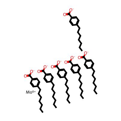 CCCCCCCc1ccc(C(=O)[O-])cc1.CCCCCCCc1ccc(C(=O)[O-])cc1.CCCCCCCc1ccc(C(=O)[O-])cc1.CCCCCCCc1ccc(C(=O)[O-])cc1.CCCCCCCc1ccc(C(=O)[O-])cc1.CCCCCCCc1ccc(C(=O)[O-])cc1.[Mo+6]